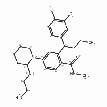 CCCC(c1ccc(Cl)c(Cl)c1)c1cc(N2CCCCC2NCCN)ccc1C(=O)NC